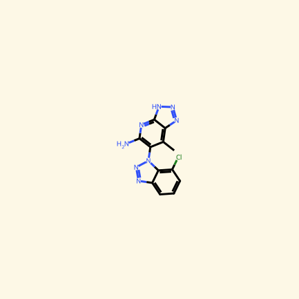 Cc1c(-n2nnc3cccc(Cl)c32)c(N)nc2[nH]nnc12